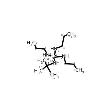 CCCN[Si](NCCC)(NCCC)NC(C)(C)C